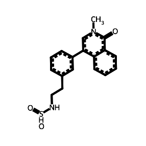 Cn1cc(-c2cccc(CCN[SH](=O)=O)c2)c2ccccc2c1=O